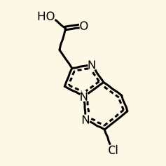 O=C(O)Cc1cn2nc(Cl)ccc2n1